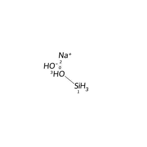 O[SiH3].[Na+].[OH-]